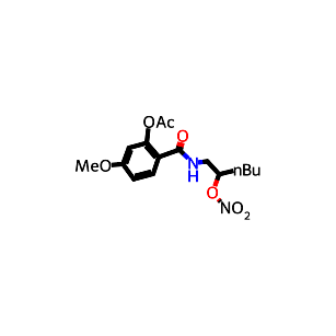 CCCCC(CNC(=O)c1ccc(OC)cc1OC(C)=O)O[N+](=O)[O-]